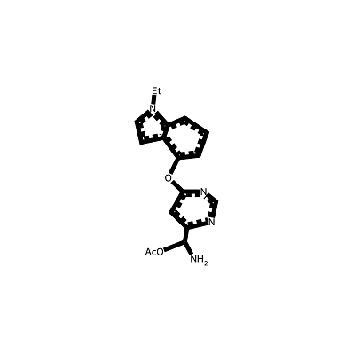 CCn1ccc2c(Oc3cc(C(N)OC(C)=O)ncn3)cccc21